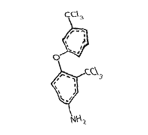 Nc1ccc(Oc2cccc(C(Cl)(Cl)Cl)c2)c(C(Cl)(Cl)Cl)c1